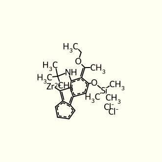 CCOC(C)=c1c(O[Si](C)(C)C)cc2c(c1NC(C)(C)C)[C]([Zr+2])=c1ccccc1=2.[Cl-].[Cl-]